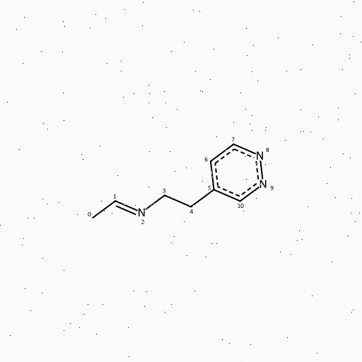 CC=NCCc1ccnnc1